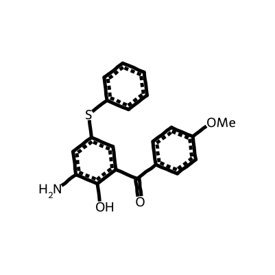 COc1ccc(C(=O)c2cc(Sc3ccccc3)cc(N)c2O)cc1